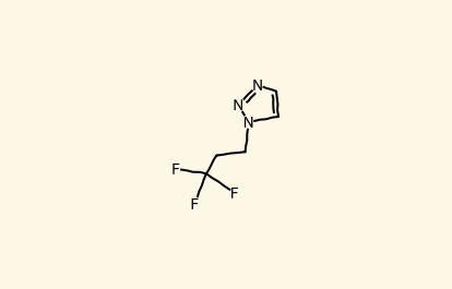 FC(F)(F)CCn1ccnn1